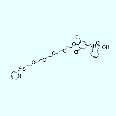 O=C(O)c1ccccc1Nc1cc(Cl)c(OC=COCCOCCOCCOCCSSc2ccccn2)c(Cl)c1